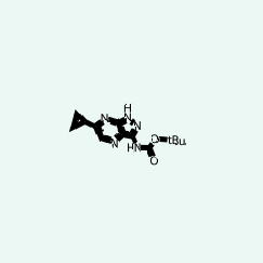 CC(C)(C)OC(=O)Nc1n[nH]c2nc(C3CC3)cnc12